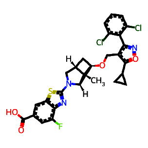 C[C@]12[C@@H]3CN(c4nc5c(F)cc(C(=O)O)cc5s4)[C@H]1[C@@]2(OCc1c(-c2c(Cl)cccc2Cl)noc1C1CC1)C3